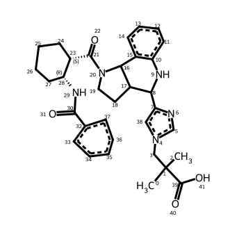 CC(C)(Cn1cnc(C2Nc3ccccc3C3C2CCN3C(=O)[C@H]2CCCC[C@H]2NC(=O)c2ccccc2)c1)C(=O)O